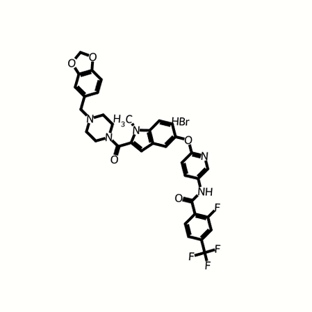 Br.Cn1c(C(=O)N2CCN(Cc3ccc4c(c3)OCO4)CC2)cc2cc(Oc3ccc(NC(=O)c4ccc(C(F)(F)F)cc4F)cn3)ccc21